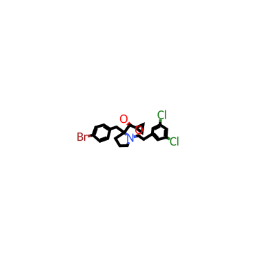 O=C(Cc1cc(Cl)cc(Cl)c1)N1CCCC1(Cc1ccc(Br)cc1)C(=O)C1CC1